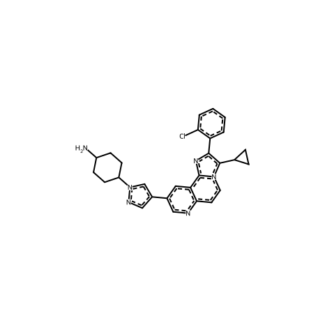 NC1CCC(n2cc(-c3cnc4ccn5c(C6CC6)c(-c6ccccc6Cl)nc5c4c3)cn2)CC1